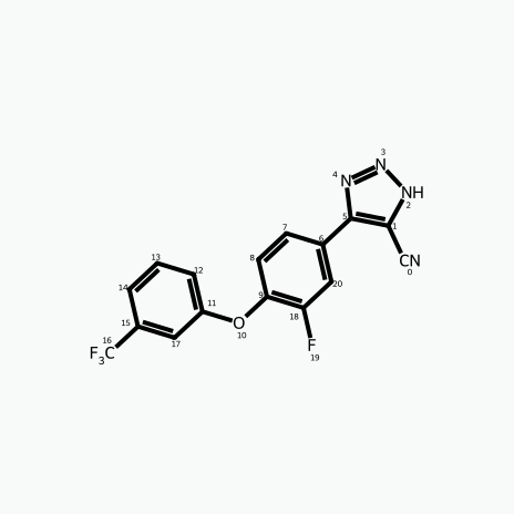 N#Cc1[nH]nnc1-c1ccc(Oc2cccc(C(F)(F)F)c2)c(F)c1